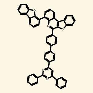 c1ccc(-c2cc(-c3ccc(-c4ccc(-c5nc6c(-c7cccc8c7oc7ccccc78)cccc6c6c5sc5ccccc56)cc4)cc3)nc(-c3ccccc3)n2)cc1